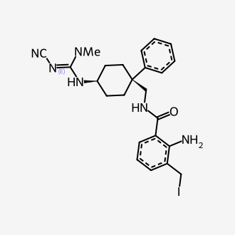 CN/C(=N\C#N)N[C@H]1CC[C@](CNC(=O)c2cccc(CI)c2N)(c2ccccc2)CC1